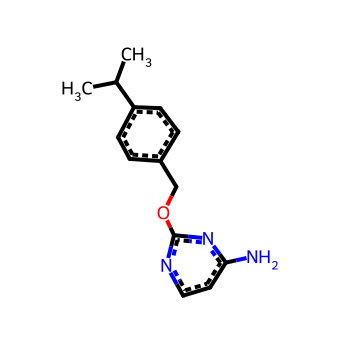 CC(C)c1ccc(COc2nccc(N)n2)cc1